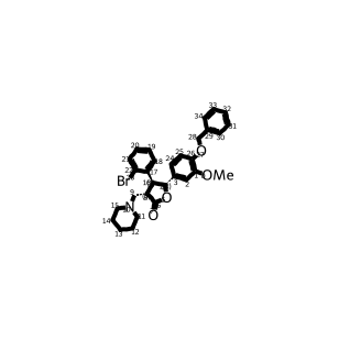 COc1cc([C@@H]2OC(=O)[C@H](CN3CCCCC3)[C@H]2c2ccccc2Br)ccc1OCc1ccccc1